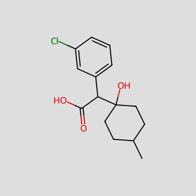 CC1CCC(O)(C(C(=O)O)c2cccc(Cl)c2)CC1